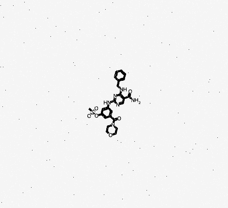 CS(=O)(=O)Oc1cc(Nc2ncc(C(N)=O)c(NCc3ccccc3)n2)cc(C(=O)N2CCOCC2)c1